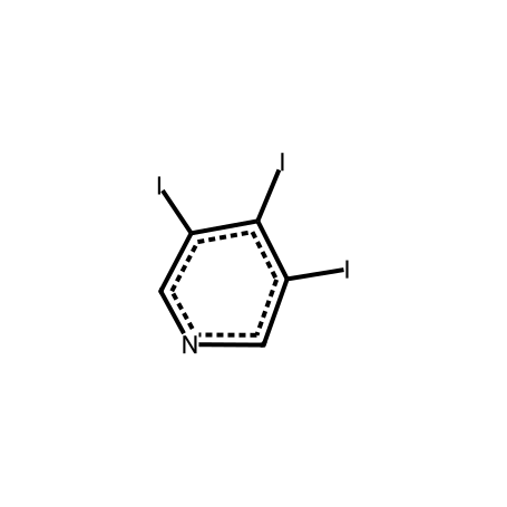 Ic1cncc(I)c1I